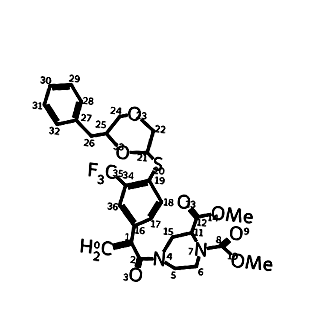 C=C(C(=O)N1CCN(C(=O)OC)C(C(=O)OC)C1)c1ccc(SC2COCC(Cc3ccccc3)O2)c(C(F)(F)F)c1